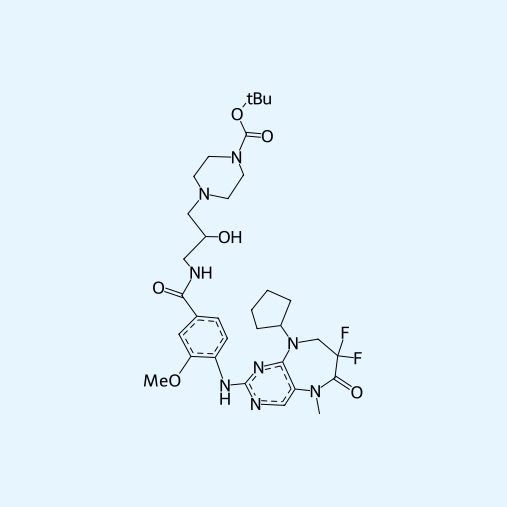 COc1cc(C(=O)NCC(O)CN2CCN(C(=O)OC(C)(C)C)CC2)ccc1Nc1ncc2c(n1)N(C1CCCC1)CC(F)(F)C(=O)N2C